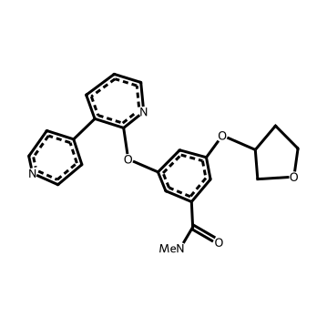 CNC(=O)c1cc(Oc2ncccc2-c2ccncc2)cc(OC2CCOC2)c1